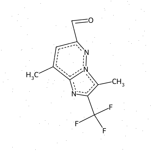 Cc1cc(C=O)nn2c(C)c(C(F)(F)F)nc12